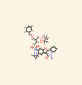 CNC(=O)c1c(-c2cccc(F)c2)oc2cc(NS(=O)(=O)CCC(COCc3ccccc3)CB3OC(C)(C)C(C)(C)O3)c(C3CC3)cc12